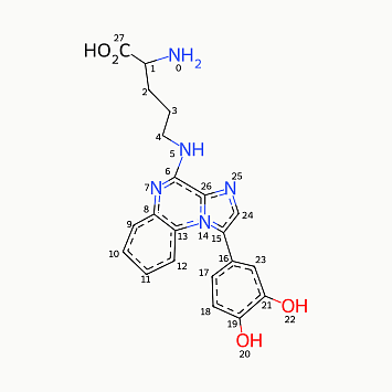 NC(CCCNc1nc2ccccc2n2c(-c3ccc(O)c(O)c3)cnc12)C(=O)O